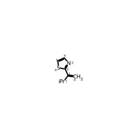 C=C(c1nccs1)C(C)C